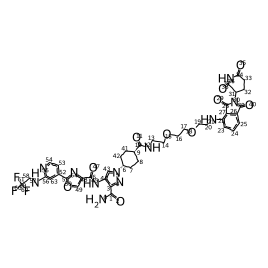 NC(=O)c1nn([C@H]2CC[C@H](C(=O)NCCOCCOCCNc3cccc4c3C(=O)N(C3CCC(=O)NC3=O)C4=O)CC2)cc1NC(=O)c1coc(-c2ccnc(NCC(F)(F)F)c2)n1